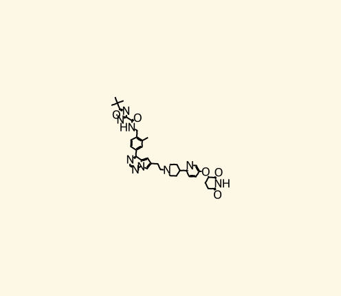 Cc1cc(-c2ncnn3cc(CCN4CCC(c5ccc(OC6CCC(=O)NC6=O)cn5)CC4)cc23)ccc1CNC(=O)c1noc(C(C)(C)C)n1